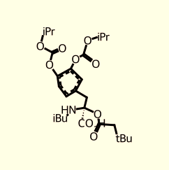 CCC(C)N[C@@](Cc1ccc(OC(=O)OC(C)C)c(OC(=O)OC(C)C)c1)(OC(=O)CC(C)(C)C)C(=O)O